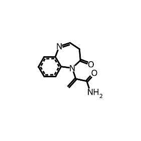 C=C(C(N)=O)N1C(=O)CC=Nc2ccccc21